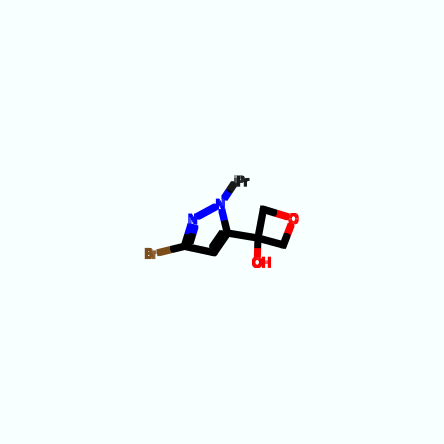 CC(C)n1nc(Br)cc1C1(O)COC1